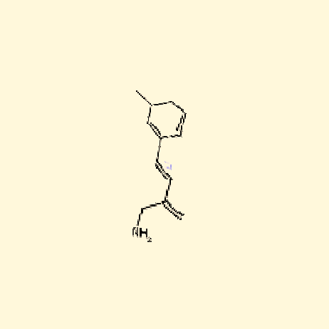 C=C(/C=C/C1=CC(C)CC=C1)CN